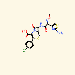 CON=C(C(=O)NC1C(=O)N2C(C(=O)O)=C(c3ccc(Cl)cc3)SCC12)c1csc(N)n1